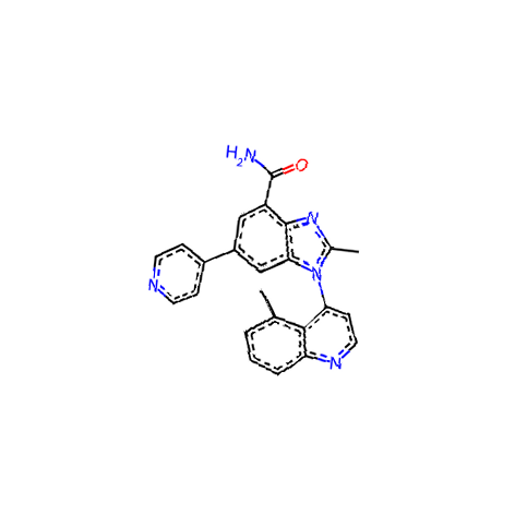 Cc1cccc2nccc(-n3c(C)nc4c(C(N)=O)cc(-c5ccncc5)cc43)c12